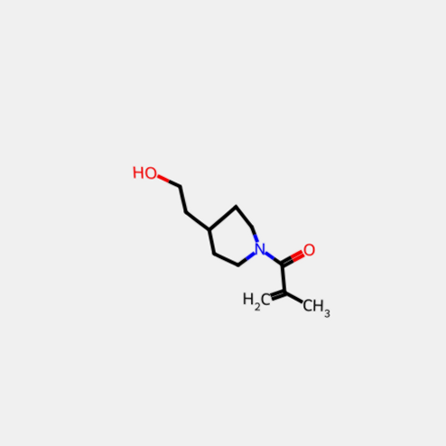 C=C(C)C(=O)N1CCC(CCO)CC1